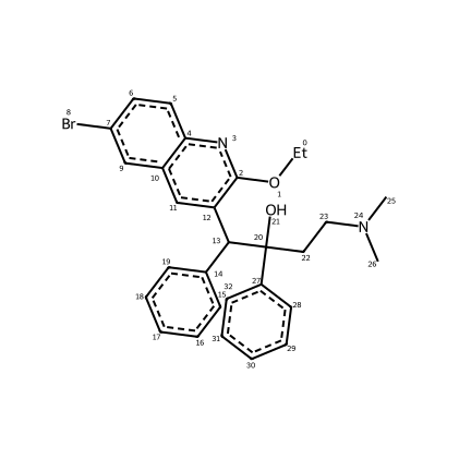 CCOc1nc2ccc(Br)cc2cc1C(c1ccccc1)C(O)(CCN(C)C)c1ccccc1